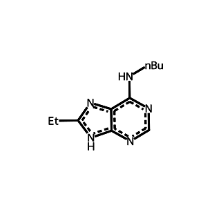 CCCCNc1ncnc2[nH]c(CC)nc12